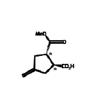 C=C1C[C@H](C(=O)O)[C@@H](C(=O)OC)C1